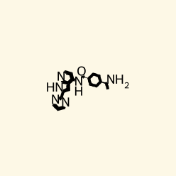 CC(N)[C@H]1CC[C@H](C(=O)Nc2ccnc3[nH]c(-c4ncccn4)cc23)CC1